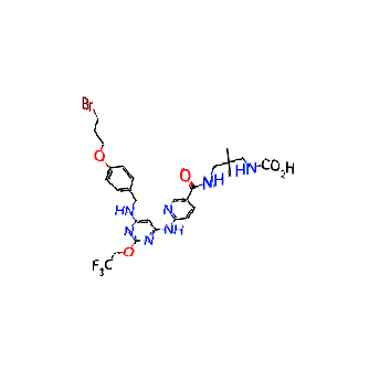 CC(C)(CNC(=O)O)CNC(=O)c1ccc(Nc2cc(NCc3ccc(OCCCBr)cc3)nc(OCC(F)(F)F)n2)nc1